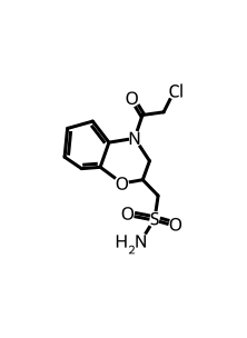 NS(=O)(=O)CC1CN(C(=O)CCl)c2ccccc2O1